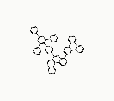 c1ccc(-c2nc(-c3ccccc3)c(-c3ccc(-c4nc5c(-c6ccc7c8ccccc8c8ccccc8c7c6)cccc5c5c4ccc4ccccc45)cc3)c(-c3ccccc3)n2)cc1